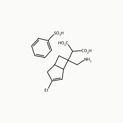 CCC1=CC2C(C1)CC2(CN)C(C(=O)O)C(=O)O.O=S(=O)(O)c1ccccc1